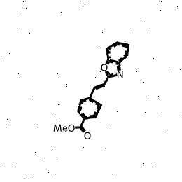 COC(=O)c1ccc(/C=C/c2nc3ccccc3o2)cc1